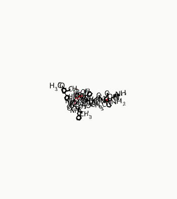 CCc1cc(OC)ccc1-c1ccc(C[C@H](NC(=O)[C@H](CC(=O)O)NC(=O)[C@H](CO)NC(=O)[C@@H](NC(=O)[C@](C)(Cc2ccccc2F)NC(=O)[C@@H](NC(=O)CNC(=O)[C@H](CCC(=O)O)NC(=O)[C@]2(C)CCCN2C(=O)[C@@H](N)Cc2c[nH]cn2)[C@@H](C)O)[C@@H](C)O)C(=O)N[C@@H](CCC(=O)N(CC)Cc2ccccc2)C(N)=O)cc1